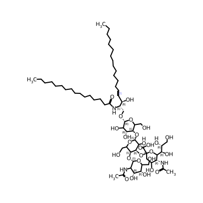 CCCCCCCCCCCCC/C=C/[C@@H](O)[C@H](CO[C@@H]1OC(CO)[C@@H](O[C@@H]2OC(CO)[C@H](O[C@@H]3OC(CO)[C@H](O)[C@H](O)C3NC(C)=O)[C@H](O[C@]3(C(=O)O)CC(O)[C@@H](NC(C)=O)C([C@H](O)[C@H](O)CO)O3)C2O)[C@H](O)C1O)NC(=O)CCCCCCCCCCCCCCC